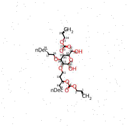 C=CCOC(=O)O[C@@H](CCCCCCCCCCC)CCO[C@@H]1[C@@H](OCCCCCCCCCCCC)[C@H](OC(=O)OCC=C)[C@@H](CO)O[C@@H]1O